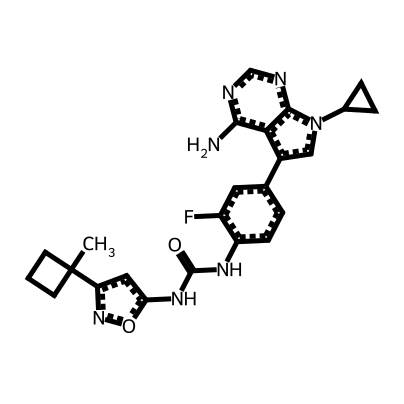 CC1(c2cc(NC(=O)Nc3ccc(-c4cn(C5CC5)c5ncnc(N)c45)cc3F)on2)CCC1